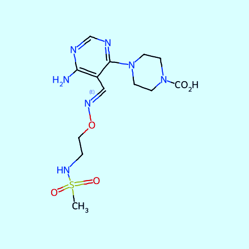 CS(=O)(=O)NCCO/N=C/c1c(N)ncnc1N1CCN(C(=O)O)CC1